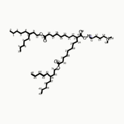 CCCCCC(CCCCC)CCOC(=O)CCCCCCCC(CCCCCCCC(=O)OCCC(CCCCC)CCCCC)C(=O)O/N=C/CCCN(C)C